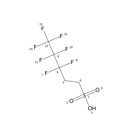 O=S(=O)(O)CCC(F)(F)C(F)(F)C(F)(F)F